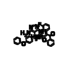 CC(Nc1ncnc(N)c1C(=N)c1ccc(Oc2ccccc2)cc1)c1oc2ccccc2c(=O)c1-c1cccc(F)c1